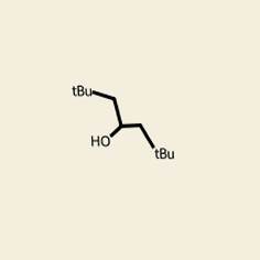 CC(C)(C)CC(O)CC(C)(C)C